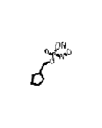 O=NP(=O)(O)OCC1CCCC1